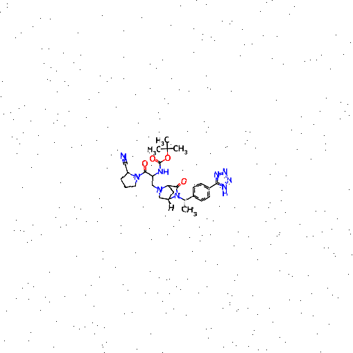 C[C@@H](c1ccc(-c2nnn[nH]2)cc1)N1C(=O)C2C[C@H]1CN2CC(NC(=O)OC(C)(C)C)C(=O)N1CCCC1C#N